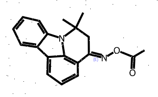 CC(=O)O/N=C1\CC(C)(C)n2c3ccccc3c3cccc1c32